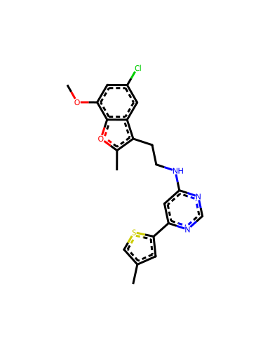 COc1cc(Cl)cc2c(CCNc3cc(-c4cc(C)cs4)ncn3)c(C)oc12